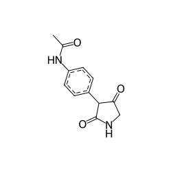 CC(=O)Nc1ccc(C2C(=O)CNC2=O)cc1